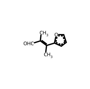 C/C(C=O)=C(/C)c1ccco1